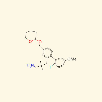 COc1ccc(F)c(-c2ccc(COC3CCCCO3)cc2CC(C)(C)CN)c1